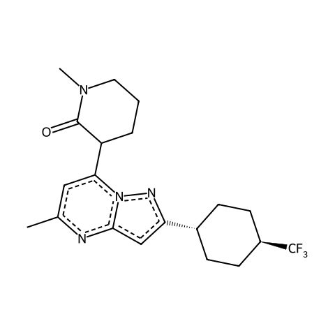 Cc1cc(C2CCCN(C)C2=O)n2nc([C@H]3CC[C@H](C(F)(F)F)CC3)cc2n1